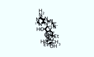 CCC(CC)(CC1O[C@@H](n2c(N=[N+]=[N-])nc3c(N)ncnc32)[C@H](O)C1O)OP(=O)(O)C(C)(O)CC